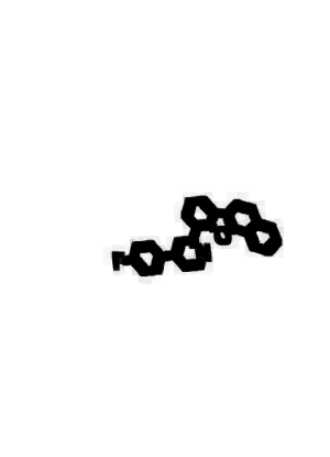 Fc1ccc(-c2ccnc(-c3cccc4c3oc3c5ccccc5ccc43)c2)cc1